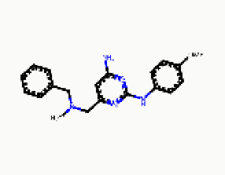 COc1ccc(Nc2nc(N)cc(CN(C)Cc3ccccc3)n2)cc1